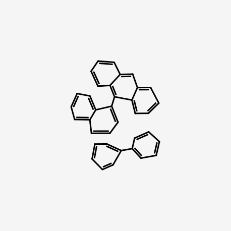 c1ccc(-c2ccccc2)cc1.c1ccc2c(-c3c4ccccc4cc4ccccc34)cccc2c1